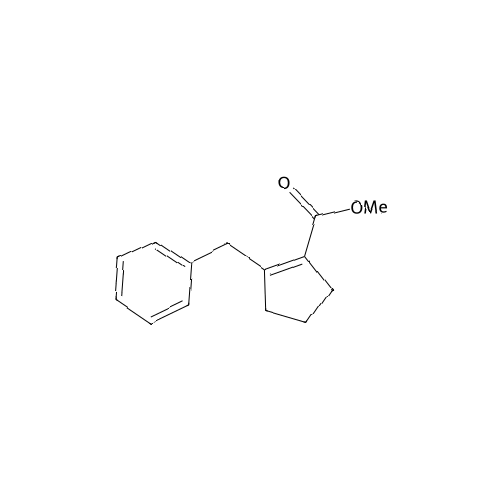 COC(=O)C1=C(Cc2ccccc2)CCC1